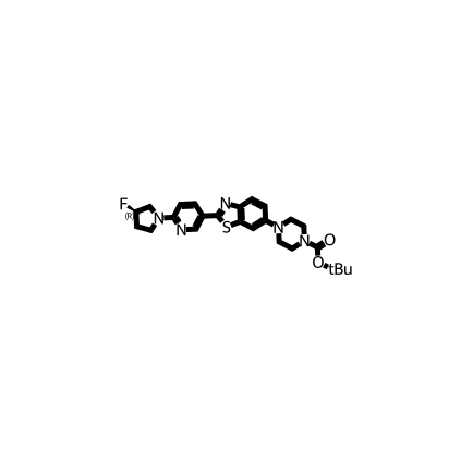 CC(C)(C)OC(=O)N1CCN(c2ccc3nc(-c4ccc(N5CC[C@@H](F)C5)nc4)sc3c2)CC1